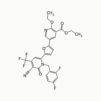 CCOC(=O)c1cc(-c2ccc(-c3cc(C(F)(F)F)c(C#N)c(=O)n3Cc3ccc(F)cc3F)o2)cnc1OCC